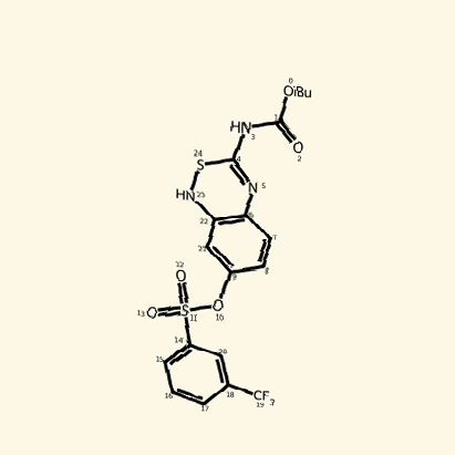 CC(C)COC(=O)NC1=Nc2ccc(OS(=O)(=O)c3cccc(C(F)(F)F)c3)cc2NS1